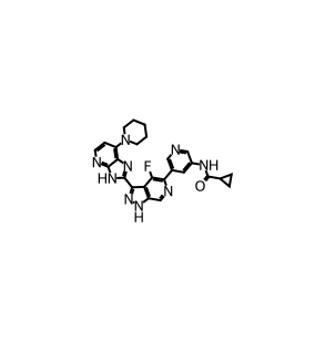 O=C(Nc1cncc(-c2ncc3[nH]nc(-c4nc5c(N6CCCCC6)ccnc5[nH]4)c3c2F)c1)C1CC1